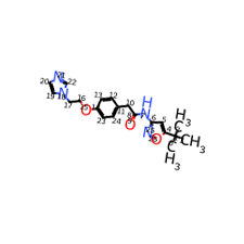 CC(C)(C)c1cc(NC(=O)Cc2ccc(OCCn3ccnc3)cc2)no1